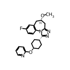 CO[C@H]1Cc2cc(F)ccc2-n2c(nnc2[C@H]2CC[C@H](Oc3ccccn3)CC2)C1